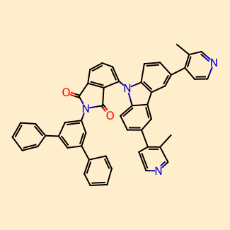 Cc1cnccc1-c1ccc2c(c1)c1cc(-c3ccncc3C)ccc1n2-c1cccc2c1C(=O)N(c1cc(-c3ccccc3)cc(-c3ccccc3)c1)C2=O